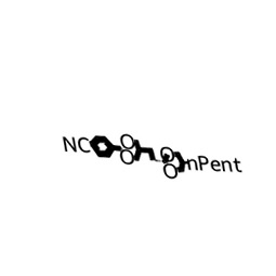 CCCCC[C@H]1CO[C@H](CCC2COC(c3ccc(C#N)cc3)OC2)OC1